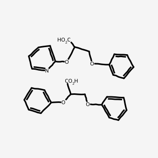 O=C(O)C(COc1ccccc1)Oc1ccccc1.O=C(O)C(COc1ccccc1)Oc1ccccn1